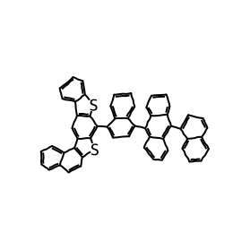 c1ccc2c(-c3c4ccccc4c(-c4ccc(-c5c6sc7ccccc7c6cc6c5sc5ccc7ccccc7c56)c5ccccc45)c4ccccc34)cccc2c1